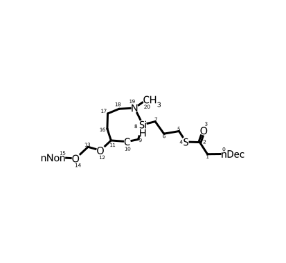 CCCCCCCCCCCC(=O)SCCC[SiH]1CCC(OCOCCCCCCCCC)CCCN1C